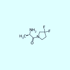 C[C@@H](N)C(=O)N1CCC(F)(F)C1